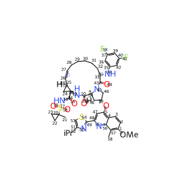 COc1ccc2c(O[C@@H]3C[C@H]4C(=O)N[C@]5(C(=O)NS(=O)(=O)C6(C)CC6)C[C@H]5/C=C\CCCCC[C@H](Nc5cc(F)cc(F)c5)C(=O)N4C3)cc(-c3nc(C(C)C)cs3)nc2c1C